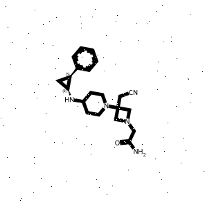 N#CCC1(N2CCC(N[C@@H]3C[C@H]3c3ccccc3)CC2)CN(CC(N)=O)C1